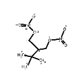 CC(C)(C)C(CO[N+](=O)[O-])CO[N+](=O)[O-]